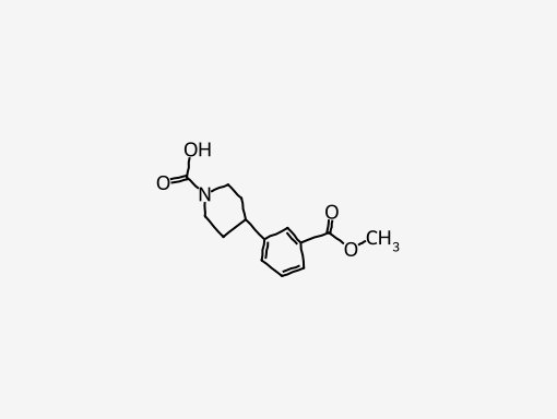 COC(=O)c1cccc(C2CCN(C(=O)O)CC2)c1